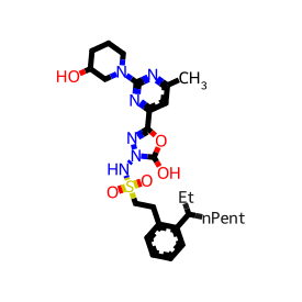 CCCCCC(CC)c1ccccc1CCS(=O)(=O)NN1N=C(c2cc(C)nc(N3CCCC(O)C3)n2)OC1O